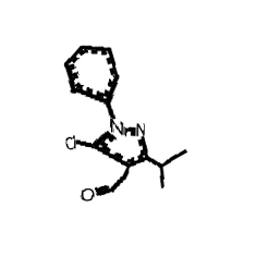 CC(C)c1nn(-c2ccccc2)c(Cl)c1C=O